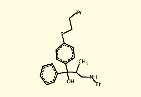 CCNCC(C)C(O)(c1ccccc1)c1ccc(SCCC(C)C)cc1